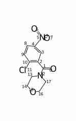 O=C(c1cc([N+](=O)[O-])ccc1Cl)N1CCOCC1